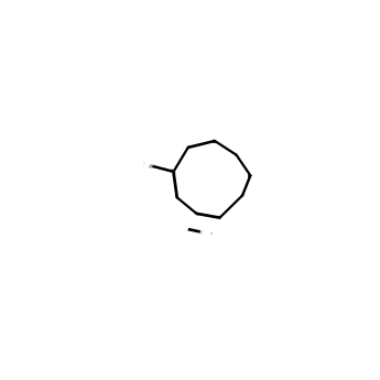 CCO.NC1CCCCCCCC1